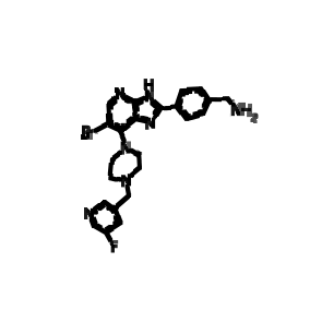 NCc1ccc(-c2nc3c(N4CCN(Cc5cncc(F)c5)CC4)c(Br)cnc3[nH]2)cc1